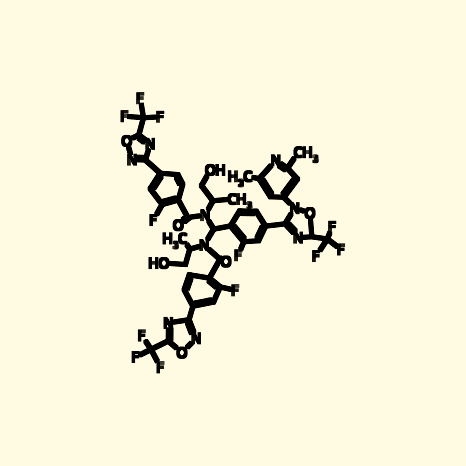 Cc1cc(N2OC(C(F)(F)F)N=C2c2ccc(C(N(C(=O)c3ccc(-c4noc(C(F)(F)F)n4)cc3F)C(C)CO)N(C(=O)c3ccc(-c4noc(C(F)(F)F)n4)cc3F)C(C)CO)c(F)c2)cc(C)n1